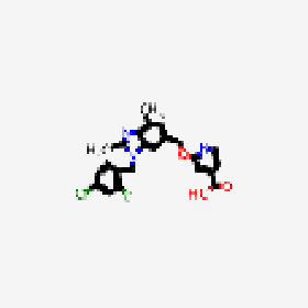 Cc1cc(COc2cc(C(=O)O)ccn2)cc2c1nc(C)n2Cc1ccc(Cl)cc1Cl